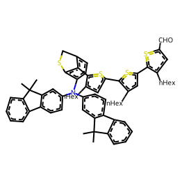 CCCCCCc1cc(C=O)sc1-c1cc(CCCCCC)c(-c2cc(CCCCCC)c(-c3c4ccc(N(c5ccc6c(c5)C(C)(C)c5ccccc5-6)c5ccc6c(c5)C(C)(C)c5ccccc5-6)c3SC4)s2)s1